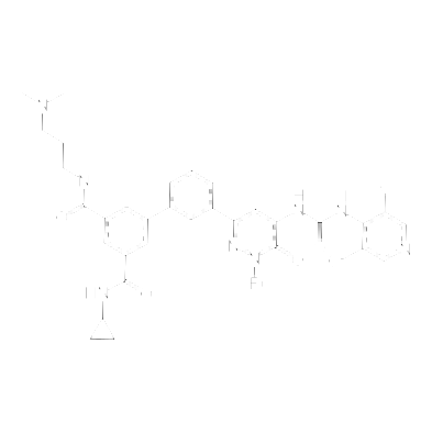 CCn1nc(-c2cccc(-c3cc(C(=O)NCCCN(C)C)cc(C(=O)NC4CC4)c3)c2)cc(NC(=O)Nc2c(Cl)cncc2Cl)c1=O